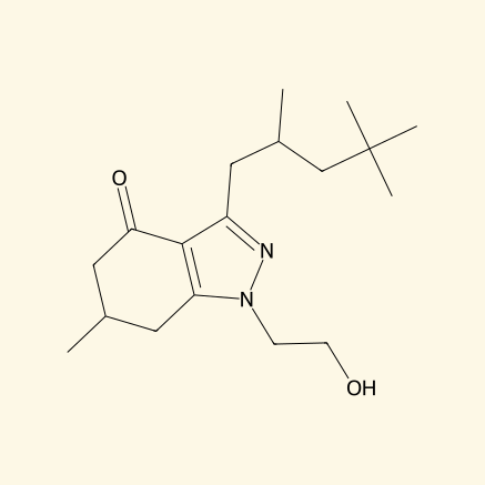 CC1CC(=O)c2c(CC(C)CC(C)(C)C)nn(CCO)c2C1